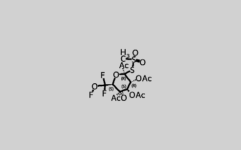 CC(=O)O[C@H]1[C@H](OC(C)=O)[C@@H](C(F)(F)OF)O[C@](SS(C)(=O)=O)(C(C)=O)[C@@H]1OC(C)=O